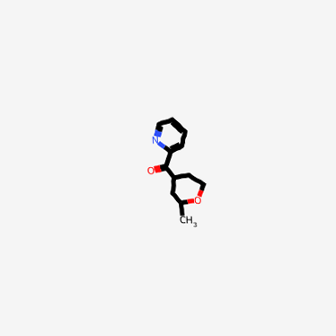 CC1CC(C(=O)c2ccccn2)CCO1